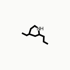 CCCC1CC(CC)CCN1